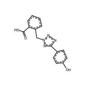 O=C(O)c1ccccc1Cn1nnc(-c2ccc(O)cc2)n1